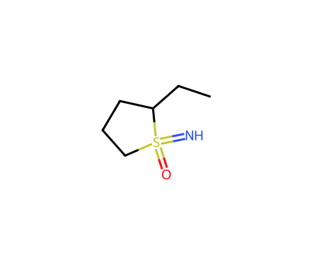 CCC1CCCS1(=N)=O